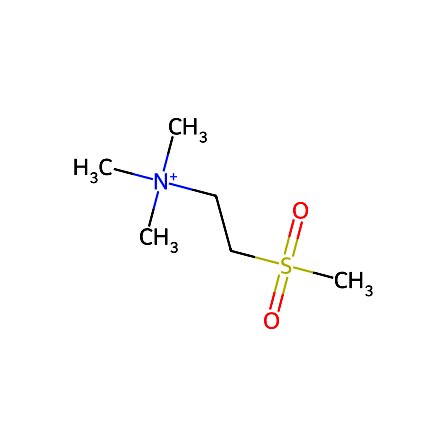 C[N+](C)(C)CCS(C)(=O)=O